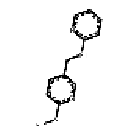 N#CSc1ccc(CNc2ccccn2)cn1